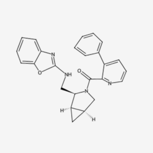 O=C(c1ncccc1-c1ccccc1)N1C[C@H]2C[C@H]2[C@H]1CNc1nc2ccccc2o1